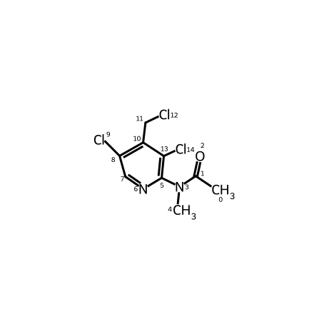 CC(=O)N(C)c1ncc(Cl)c(CCl)c1Cl